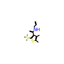 C=CCNC(=C)c1c(S(C)(C)C)sc(C)c1C